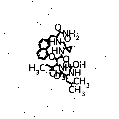 CC[C@H](C)C(NC(=O)[C@H](CC(C)C)NC(=O)O)C(=O)C(=O)NC1(C(=O)NC(Cc2ccc3ccccc3c2)C(N)=O)CC1